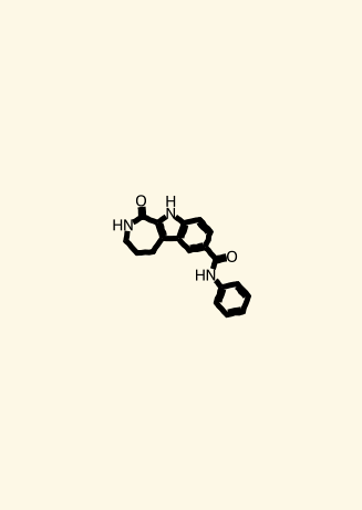 O=C(Nc1ccccc1)c1ccc2[nH]c3c(c2c1)CCCNC3=O